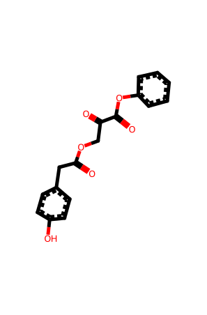 O=C(Cc1ccc(O)cc1)OCC(=O)C(=O)Oc1ccccc1